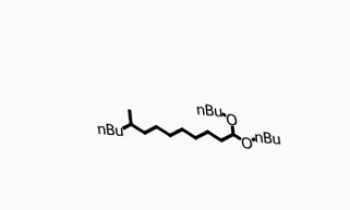 CCCCOC(CCCCCCCC(C)CCCC)OCCCC